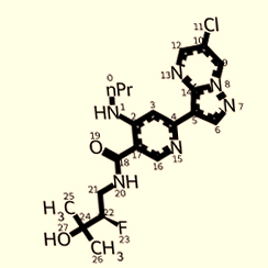 CCCNc1cc(-c2cnn3cc(Cl)cnc23)ncc1C(=O)NC[C@@H](F)C(C)(C)O